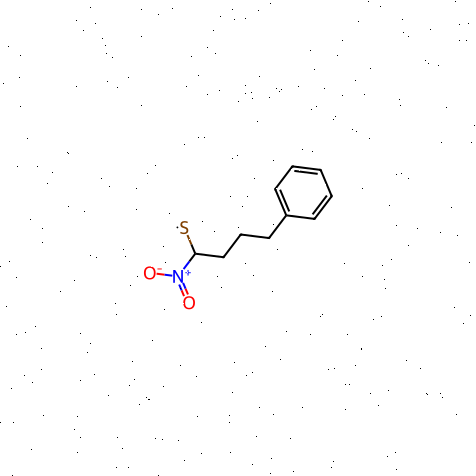 O=[N+]([O-])C([S])CCCc1ccccc1